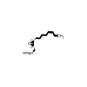 C=C/C=C\CCCC[C@H]1O[C@H]1CCCCCCCC